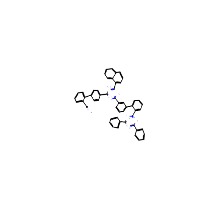 N#Cc1ccccc1-c1ccc(-c2nc(-c3cccc(-c4ccccc4-c4nc(-c5ccccc5)nc(-c5ccccc5)n4)c3)nc(-c3cccc4ccccc34)n2)cc1